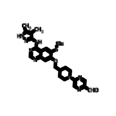 Cc1[nH]nc(Nc2ncnc3cc(OCC4CCN(c5cnc(C=O)cn5)CC4)c(SC(C)(C)C)cc23)c1C